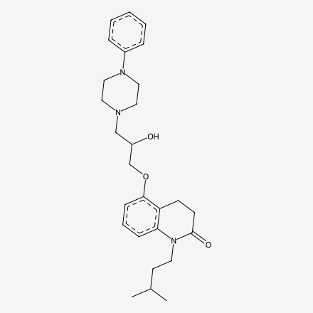 CC(C)CCN1C(=O)CCc2c(OCC(O)CN3CCN(c4ccccc4)CC3)cccc21